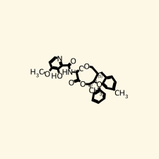 COc1ccnc(C(=O)N[C@H]2COC[C@H](Cc3ccc(C)cc3)[C@@H](Oc3ccccc3)[C@H](C)OC2=O)c1O